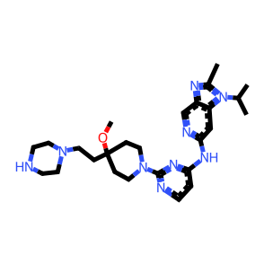 COC1(CCN2CCNCC2)CCN(c2nccc(Nc3cc4c(cn3)nc(C)n4C(C)C)n2)CC1